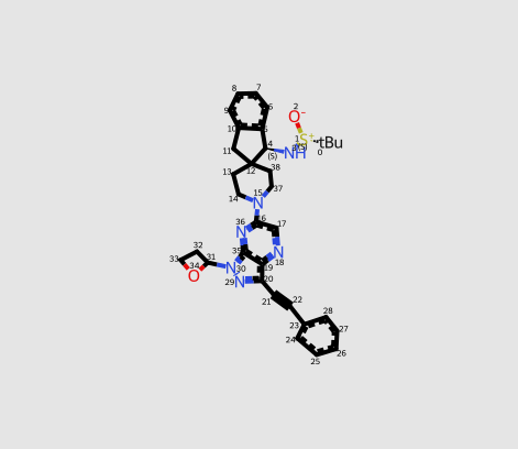 CC(C)(C)[S@@+]([O-])N[C@@H]1c2ccccc2CC12CCN(c1cnc3c(C#Cc4ccccc4)nn(C4CCO4)c3n1)CC2